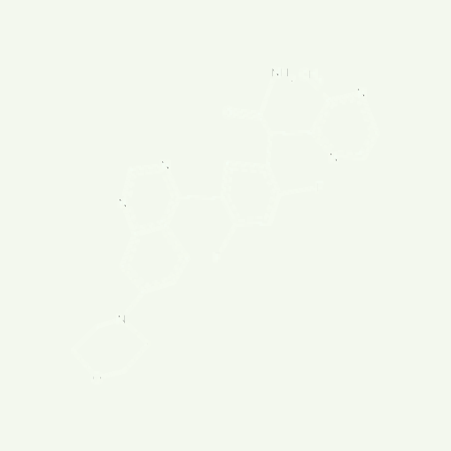 Cc1nccnc1C(C(N)=O)c1cc(-c2ncnc3cc(N4CCOCC4)ccc23)c(F)cc1F